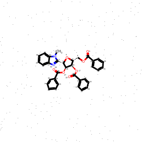 Cn1c([C@@H]2O[C@H](COC(=O)c3ccccc3)[C@@H](OC(=O)c3ccccc3)[C@H]2OC(=O)c2ccccc2)nc2ccccc21